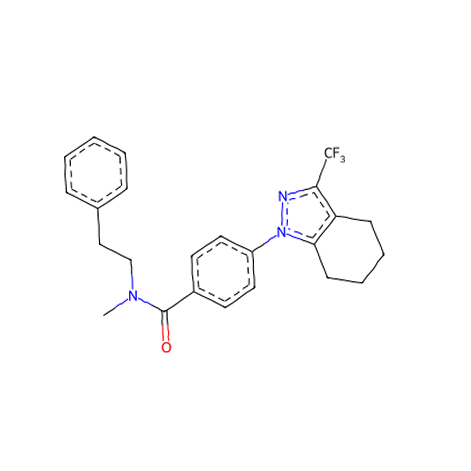 CN(CCc1ccccc1)C(=O)c1ccc(-n2nc(C(F)(F)F)c3c2CCCC3)cc1